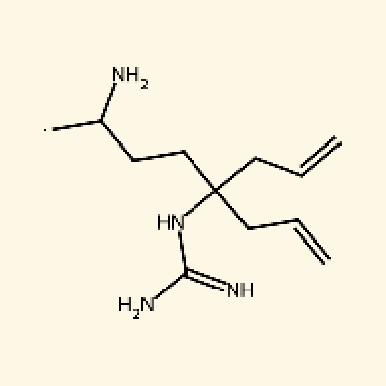 [CH2]C(N)CCC(CC=C)(CC=C)NC(=N)N